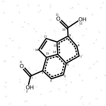 O=C(O)c1ccc2ccc(C(=O)O)c3c2c1C=C3